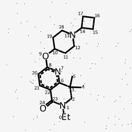 CCN1CC(C)(C)c2nc(OC3CCN(C4CCC4)CC3)ccc2C1=O